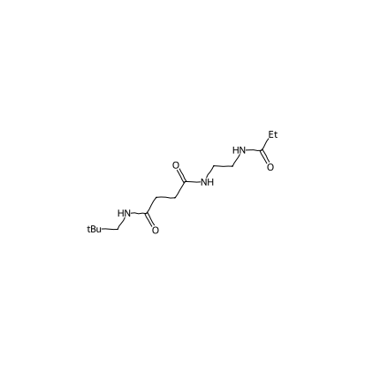 CCC(=O)NCCNC(=O)CCC(=O)NCC(C)(C)C